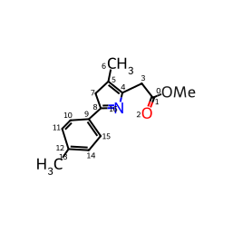 COC(=O)CC1=C(C)CC(c2ccc(C)cc2)=N1